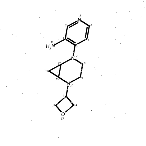 Nc1cnccc1N1CCN(C2COC2)C2CC21